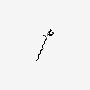 CCCCCCCCCC[SiH](C)n1ccnc1